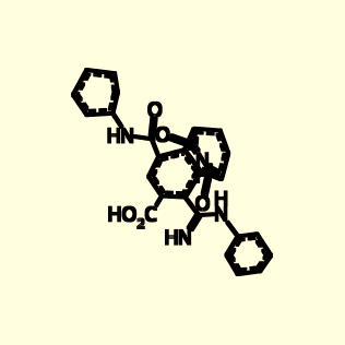 N=C(Nc1ccccc1)c1c(C(=O)O)cc(C(=O)Nc2ccccc2)c2c3ccc(c(=O)[nH]c3=O)c12